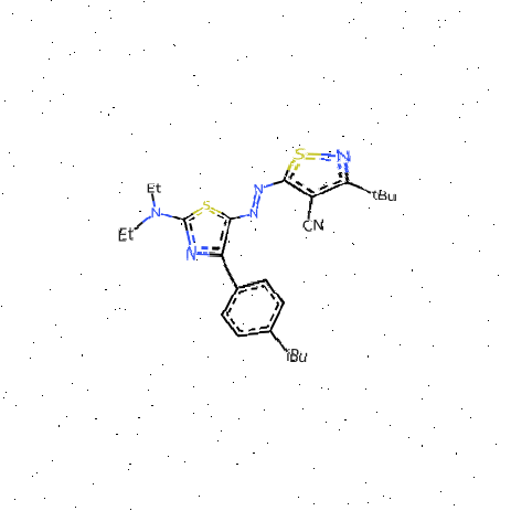 CCC(C)c1ccc(-c2nc(N(CC)CC)sc2/N=N/c2snc(C(C)(C)C)c2C#N)cc1